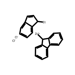 CCC1C=Cc2ccccc21.[Cl-].[Cl-].[Zr+2][CH]1c2ccccc2-c2ccccc21